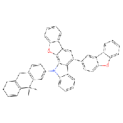 CC1(C)C2=C(CCC=C2)Cc2ccc(-n3c4ccccc4c4c(-c5ccc6oc7ccccc7c6c5)cc5c6ccccc6oc5c43)cc21